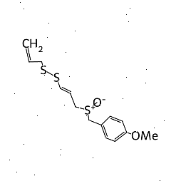 C=CCSS/C=C/C[S+]([O-])Cc1ccc(OC)cc1